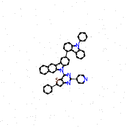 c1ccc(-c2cc3nc(-c4ccncc4)nc(-n4c5ccc(-c6cccc7c6c6ccccc6n7-c6ccccc6)cc5c5cc6ccccc6cc54)c3s2)cc1